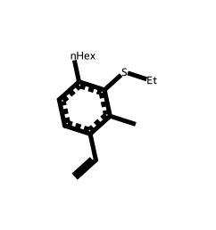 C=Cc1ccc(CCCCCC)c(SCC)c1C